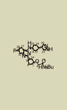 CCC(C)NC(=O)COc1cccc(-c2nc(Nc3ccc(-c4cn[nH]c4)cc3)c3ccc(F)cc3n2)c1